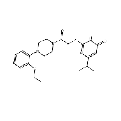 CCOc1ccccc1N1CCN(C(=O)CSc2nc(C(C)C)cc(=O)[nH]2)CC1